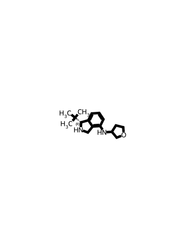 CC(C)(C)[C@H]1NCc2c(NC3CCOC3)cccc21